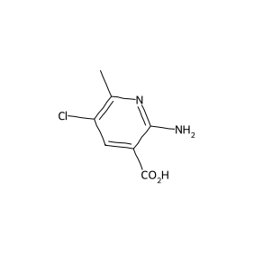 Cc1nc(N)c(C(=O)O)cc1Cl